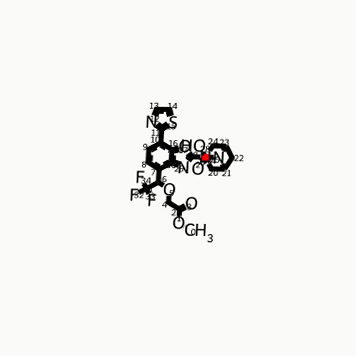 COC(=O)COC(c1ccc(-c2nccs2)c2oc(N3CC4CC(C3)N4C(=O)O)nc12)C(F)(F)F